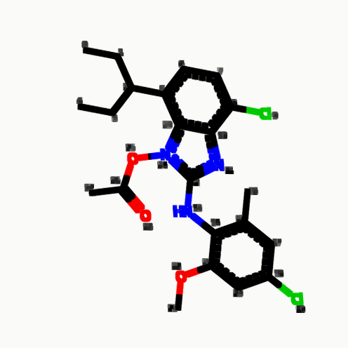 CCC(CC)c1ccc(Cl)c2nc(Nc3c(C)cc(Cl)cc3OC)n(OC(C)=O)c12